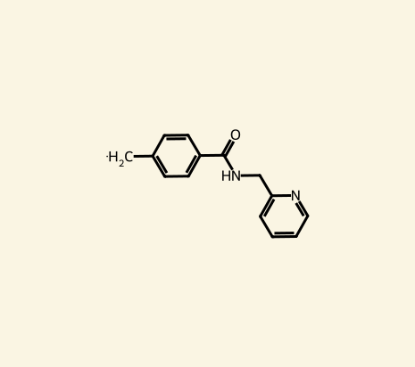 [CH2]c1ccc(C(=O)NCc2ccccn2)cc1